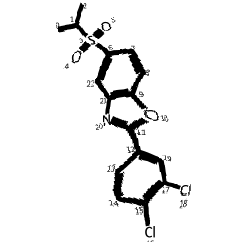 CC(C)S(=O)(=O)c1ccc2oc(-c3ccc(Cl)c(Cl)c3)nc2c1